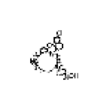 C[C@@H]1[C@@H](C)CCC[C@@H]([C@H]2OC[C@@](CO)(N(C)C)CO2)[C@@H]2CC[C@H]2CN2C[C@@]3(CCCc4cc(Cl)ccc43)COc3ccc(cc32)C(=O)NS1(=O)=O